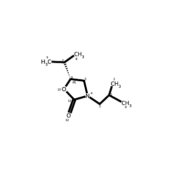 CC(C)CN1C[C@@H](C(C)C)OC1=O